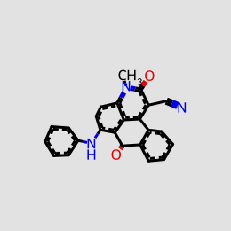 Cn1c(=O)c(C#N)c2c3c(c(Nc4ccccc4)ccc31)C(=O)c1ccccc1-2